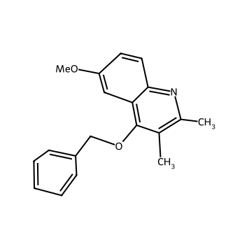 COc1ccc2nc(C)c(C)c(OCc3ccccc3)c2c1